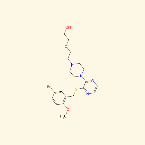 COc1ccc(Br)cc1CSc1nccnc1N1CCN(CCOCCO)CC1